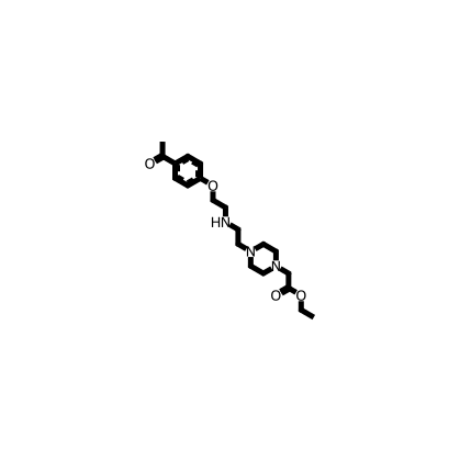 CCOC(=O)CN1CCN(CCNCCOc2ccc(C(C)=O)cc2)CC1